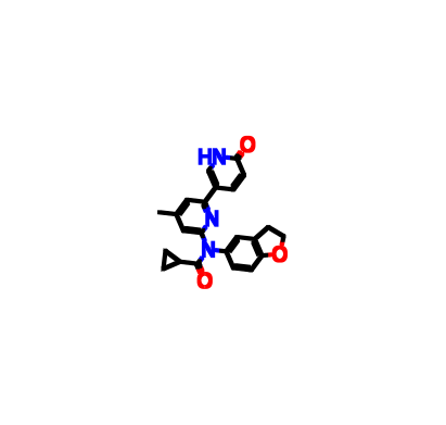 Cc1cc(-c2ccc(=O)[nH]c2)nc(N(C(=O)C2CC2)c2ccc3c(c2)CCO3)c1